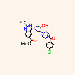 COC(=O)c1ccc2nc(C(F)(F)F)nc(N3C[C@H](O)[C@@H](N4CCN(C(=O)c5ccc(Cl)cc5)CC4)C3)c2c1